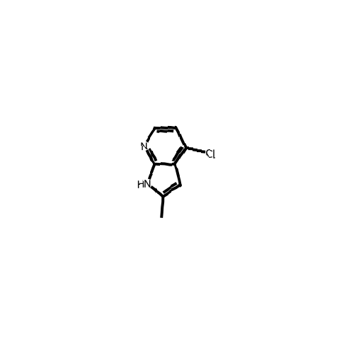 Cc1cc2c(Cl)ccnc2[nH]1